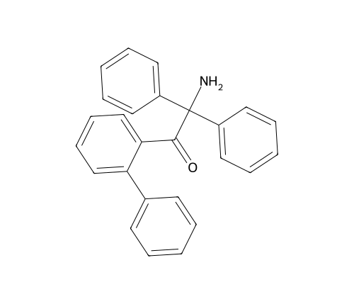 NC(C(=O)c1ccccc1-c1ccccc1)(c1ccccc1)c1ccccc1